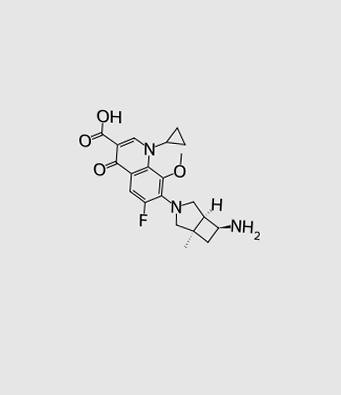 COc1c(N2C[C@H]3[C@@H](N)C[C@@]3(C)C2)c(F)cc2c(=O)c(C(=O)O)cn(C3CC3)c12